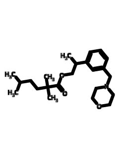 CC(C)CCC(C)(C)C(=O)OCC(C)c1cccc(CN2CCOCC2)c1